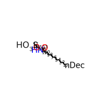 CCCCCCCCCCCCCCCCCCCCCC(=O)NCOS(=O)(=O)O